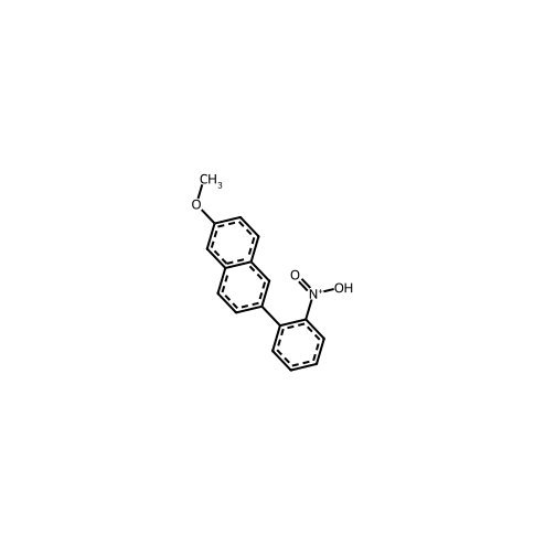 COc1ccc2cc(-c3ccccc3[N+](=O)O)ccc2c1